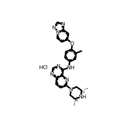 Cc1cc(Nc2ncnc3ccc(N4C[C@@H](C)N[C@@H](C)C4)nc23)ccc1Oc1ccn2ncnc2c1.Cl